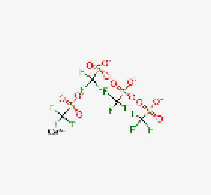 O=S(=O)([O-])C(F)(F)F.O=S(=O)([O-])C(F)(F)F.O=S(=O)([O-])C(F)(F)F.O=S(=O)([O-])C(F)(F)F.[Ce+4]